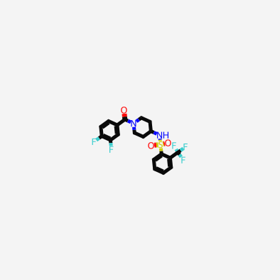 O=C(c1ccc(F)c(F)c1)N1CCC(NS(=O)(=O)c2ccccc2C(F)(F)F)CC1